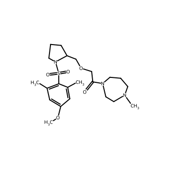 COc1cc(C)c(S(=O)(=O)N2CCCC2COCC(=O)N2CCCN(C)CC2)c(C)c1